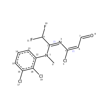 CN(/C(=N\C(Cl)=C/C=O)C(F)F)c1cccc(Cl)c1Cl